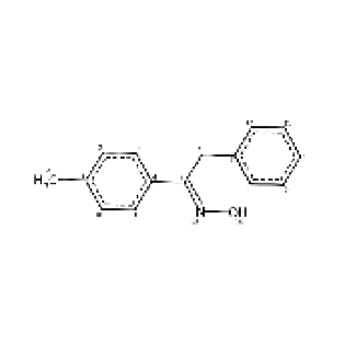 Cc1ccc(/C(Cc2ccccc2)=N/O)cc1